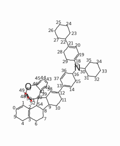 C1=CC2=C(CC1)CCC1C3CCC(C4=CCC(N(C5=CC=C(C6CCCCC6)CC5)C5CCCCC5)C=C4)=CC3C3(c4ccccc4OC4C=CCCC43)C21